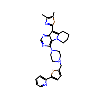 Cc1nc(-c2c3n(c4c(N5CCN(Cc6ccc(-c7ccccn7)s6)CC5)ncnc24)CCCC3)sc1C